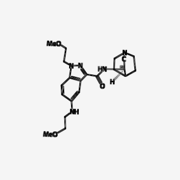 COCCNc1ccc2c(c1)c(C(=O)N[C@H]1CN3CCC1CC3)nn2CCOC